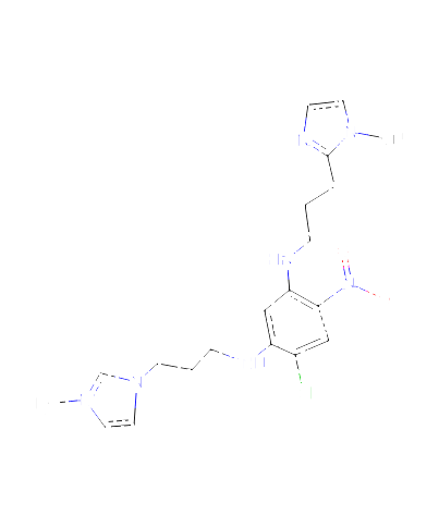 CN1C=C[N+]=C1CCCNc1cc(NCCCn2cc[n+](C)c2)c(Cl)cc1[N+](=O)[O-]